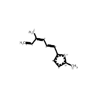 C=C/C(C)=C\C=C\c1ccc(C)s1